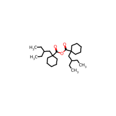 CCC(CC)CC1(C(=O)OC(=O)C2(CC(CC)CC)CCCCC2)CCCCC1